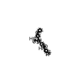 O=C(O)c1sc(C2CCN(C(=O)Nc3ccc(C(F)(F)F)cc3)CC2)nc1-c1ccc(Oc2ccccc2)cc1